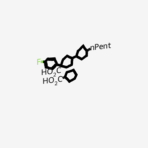 CCCCCC1CCC(C2CCC(C(=O)O)(c3ccc(F)cc3)CC2)CC1.O=C(O)C1CCCCC1